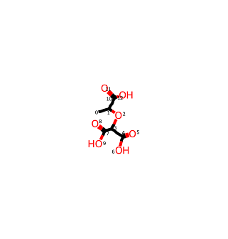 CC(OC(C(=O)O)C(=O)O)C(=O)O